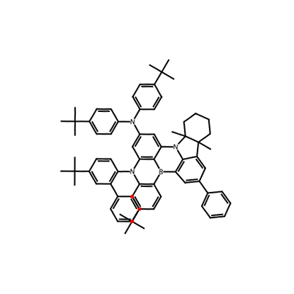 CC(C)(C)c1ccc(N(c2ccc(C(C)(C)C)cc2)c2cc3c4c(c2)N2c5c(cc(-c6ccccc6)cc5C5(C)CCCCC25C)B4c2ccc(C(C)(C)C)cc2N3c2ccc(C(C)(C)C)cc2-c2ccccc2)cc1